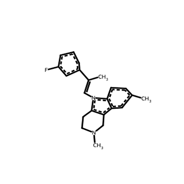 C/C(=C\n1c2c(c3cc(C)ccc31)CN(C)CC2)c1cccc(F)c1